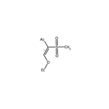 CCO/C=C(/C(C)=O)S(C)(=O)=O